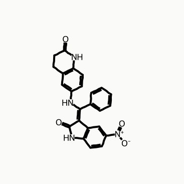 O=C1CCc2cc(NC(=C3C(=O)Nc4ccc([N+](=O)[O-])cc43)c3ccccc3)ccc2N1